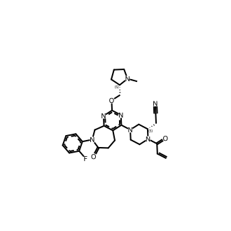 C=CC(=O)N1CCN(c2nc(OC[C@@H]3CCCN3C)nc3c2CCC(=O)N(c2ccccc2F)C3)C[C@@H]1CC#N